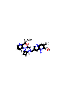 CCC1=Cc2ncc(CN3CCN(c4cccnc4C(=O)NC)[C@H]4CC[C@H]43)cc2NC1=C=O